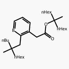 CCCCCCC(C)(CCCC)Cc1bcccc1CC(=O)OC(C)(CCCCCC)CCCCCC